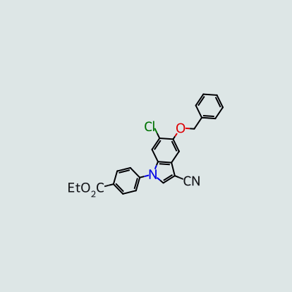 CCOC(=O)c1ccc(-n2cc(C#N)c3cc(OCc4ccccc4)c(Cl)cc32)cc1